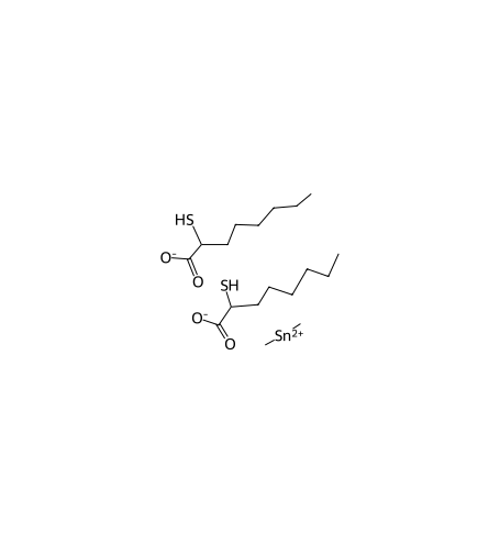 CCCCCCC(S)C(=O)[O-].CCCCCCC(S)C(=O)[O-].[CH3][Sn+2][CH3]